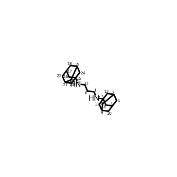 C(CNC12CC3CC(CC(C3)C1)C2)CNC12CC3CC(CC(C3)C1)C2